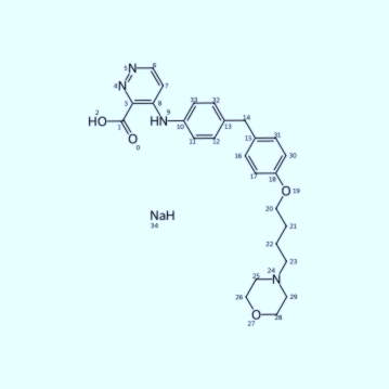 O=C(O)c1nnccc1Nc1ccc(Cc2ccc(OCCCCN3CCOCC3)cc2)cc1.[NaH]